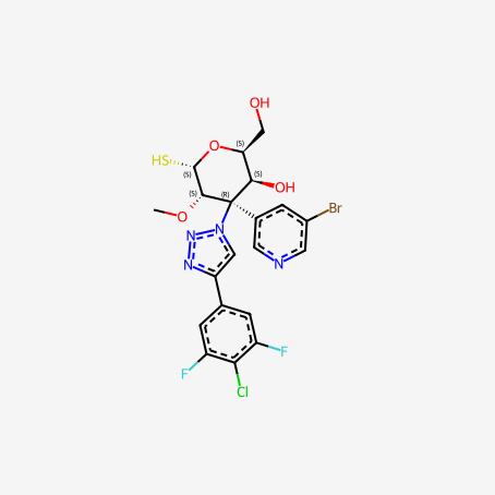 CO[C@@H]1[C@H](S)O[C@@H](CO)[C@@H](O)[C@@]1(c1cncc(Br)c1)n1cc(-c2cc(F)c(Cl)c(F)c2)nn1